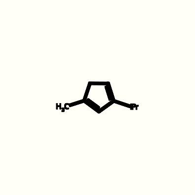 CC1=CC(C(C)C)=CC1